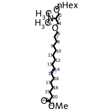 CCCCCCOCC(COCCCCCCCC/C=C/CCCCCC(=O)OC)N(C)C